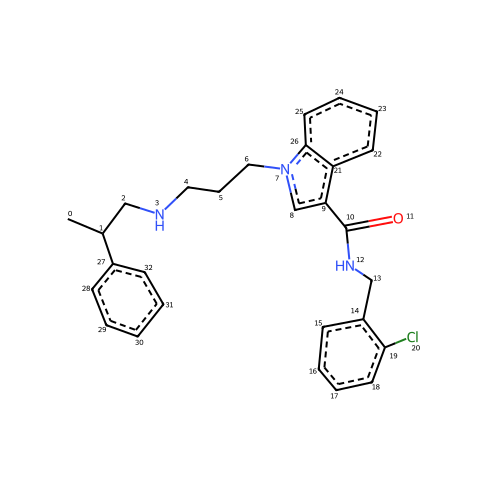 CC(CNCCCn1cc(C(=O)NCc2ccccc2Cl)c2ccccc21)c1ccccc1